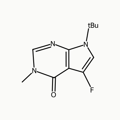 Cn1cnc2c(c(F)cn2C(C)(C)C)c1=O